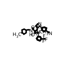 CC1CCC(CNC(=O)c2c(-c3ccnn3-c3ccc(C#N)cc3)n(C)n(-c3cccc(C(F)(F)F)c3)c2=O)CC1